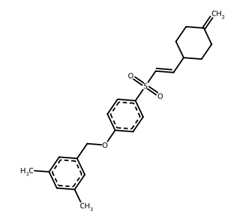 C=C1CCC(C=CS(=O)(=O)c2ccc(OCc3cc(C)cc(C)c3)cc2)CC1